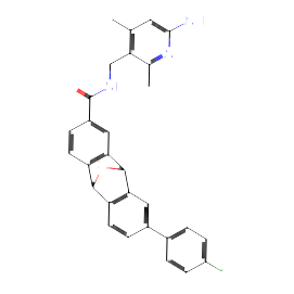 Cc1cc(N)nc(C)c1CNC(=O)c1ccc2c(c1)C1OC2c2ccc(-c3ccc(F)cc3)cc21